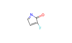 O=C1N=CC=C1F